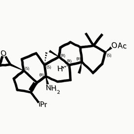 CC(=O)O[C@H]1CC[C@@]2(C)C(CC[C@]3(C)[C@@H]2CC[C@]2(N)C4=C(C(C)C)CC[C@]4(C4CO4)CC[C@]23C)C1(C)C